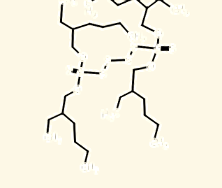 CCCCC(CC)COP(=S)(OCC(CC)CCCC)SSSSP(=S)(OCC(CC)CCCC)OCC(CC)CCCC